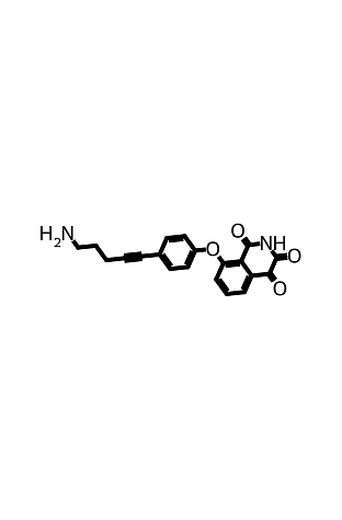 NCCCC#Cc1ccc(Oc2cccc3c2C(=O)NC(=O)C3=O)cc1